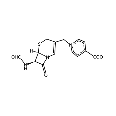 O=CN[C@@H]1C(=O)N2C=C(C[n+]3ccc(C(=O)[O-])cc3)CS[C@H]12